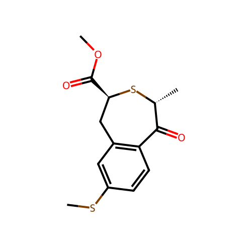 COC(=O)[C@@H]1Cc2cc(SC)ccc2C(=O)[C@@H](C)S1